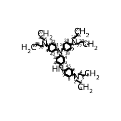 C=CCN(CC=C)c1ccc(Nc2ccc(N(c3ccc(N(CC=C)CC=C)cc3)c3ccc(N(CC=C)CC=C)cc3)cc2)cc1